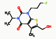 Cc1c(CO)sc2c1c(=O)n(C(C)C)c(=O)n2CCCF